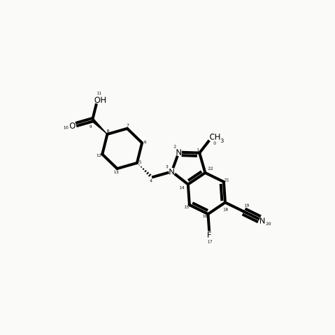 Cc1nn(C[C@H]2CC[C@H](C(=O)O)CC2)c2cc(F)c(C#N)cc12